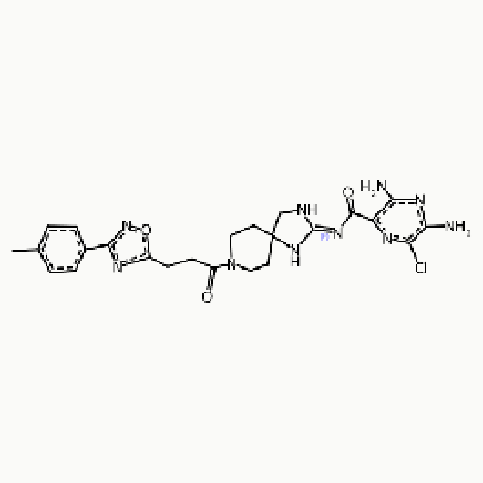 Cc1ccc(-c2noc(CCC(=O)N3CCC4(CC3)CN/C(=N\C(=O)c3nc(Cl)c(N)nc3N)N4)n2)cc1